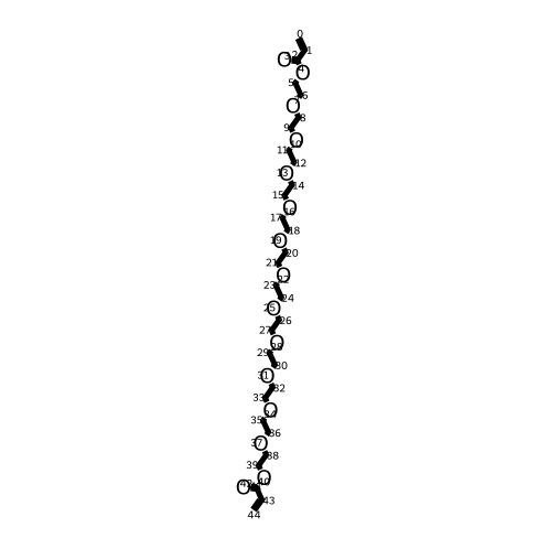 C=CC(=O)OCCOCCOCCOCCOCCOCCOCCOCCOCCOCCOCCOCCOC(=O)C=C